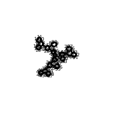 c1ccc(-c2cc(-c3cc4ccccc4c4ccccc34)ccc2-c2ccc3c(c2)c2cc(-c4ccc(-c5cc6ccccc6c6ccccc56)cc4-c4ccccc4)ccc2n3-c2ccc(-c3cc4ccccc4c4ccccc34)c3ccccc23)cc1